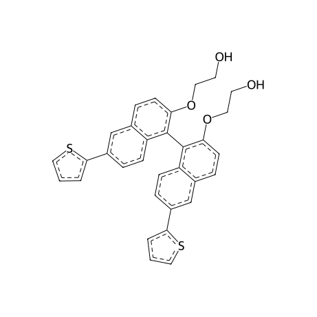 OCCOc1ccc2cc(-c3cccs3)ccc2c1-c1c(OCCO)ccc2cc(-c3cccs3)ccc12